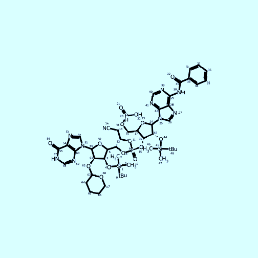 CC(C)(C)[Si](C)(C)O[C@@H]1C(COP(=O)(OCCC#N)O[C@@H]2C(CO[PH](=O)O)OC(n3cnc4c(NC(=O)c5ccccc5)ncnc43)[C@@H]2O[Si](C)(C)C(C)(C)C)OC(n2cnc3c(=O)[nH]cnc32)[C@@H]1OC1CCCCO1